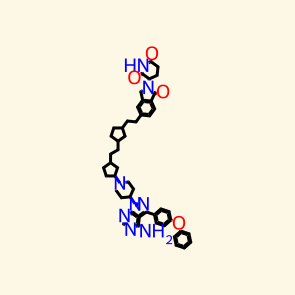 Nc1ncnc2c1c(-c1ccc(Oc3ccccc3)cc1)nn2C1CCN(C2CCC(CCC3CCC(CCc4ccc5c(c4)CN(C4CCC(=O)NC4=O)C5=O)C3)C2)CC1